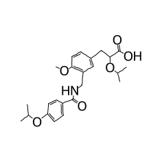 COc1ccc(CC(OC(C)C)C(=O)O)cc1CNC(=O)c1ccc(OC(C)C)cc1